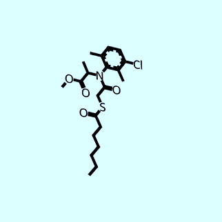 CCCCCCC(=O)SCC(=O)N(c1c(C)ccc(Cl)c1C)C(C)C(=O)OC